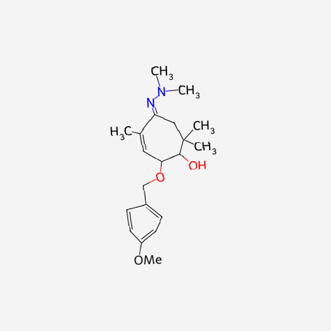 COc1ccc(COC2C=C(C)/C(=N/N(C)C)CC(C)(C)C2O)cc1